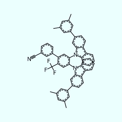 Cc1cc(C)cc(-c2ccc3c4ccccc4n(-c4cc(-c5cccc(C#N)c5)c(C(F)(F)F)cc4-n4c5ccccc5c5ccc(-c6cc(C)cc(C)c6)cc54)c3c2)c1